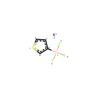 F[B-](F)(F)c1ccsc1.[K+]